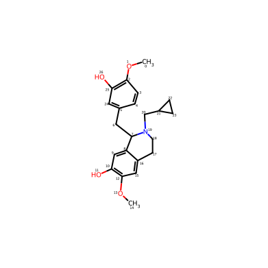 COc1ccc(CC2c3cc(O)c(OC)cc3CCN2CC2CC2)cc1O